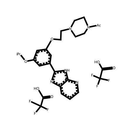 CC(=O)N1CCN(CCOc2cc(OC(C)C)cc(-c3nc4cccnc4[nH]3)c2)CC1.O=C(O)C(F)(F)F.O=C(O)C(F)(F)F